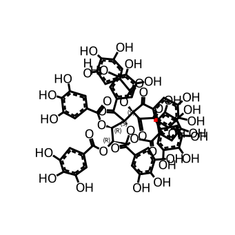 O=C(OC[C@@H](OC(=O)c1cc(O)c(O)c(O)c1)[C@@H](OC(=O)c1cc(O)c(O)c(O)c1)[C@@](OC(=O)c1cc(O)c(O)c(O)c1)(C(=O)c1cc(O)c(O)c(O)c1)[C@@](OC(=O)c1cc(O)c(O)c(O)c1)(C(=O)C(=O)c1cc(O)c(O)c(O)c1)C(=O)c1cc(O)c(O)c(O)c1)c1cc(O)c(O)c(O)c1